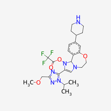 COCc1nc(C2=CN3CCOc4cc(C5CCNCC5)ccc4C3N2OC(=O)C(F)(F)F)n(C(C)C)n1